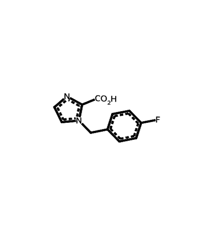 O=C(O)c1nccn1Cc1ccc(F)cc1